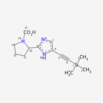 C[Si](C)(C)C#Cc1cnc(C2CCCN2C(=O)O)[nH]1